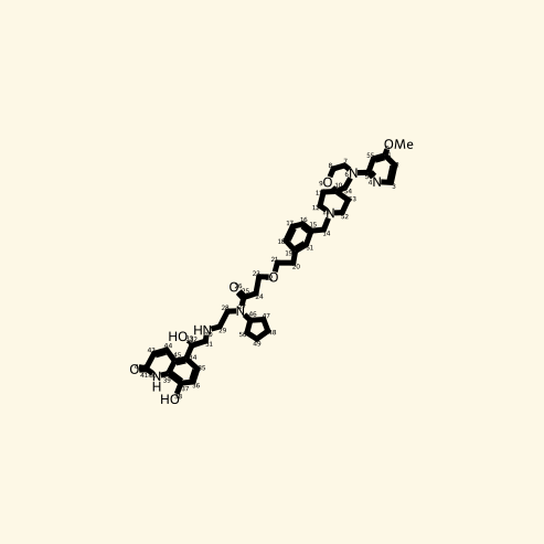 COc1ccnc(N2CCOC3(CCN(Cc4cccc(CCOCCC(=O)N(CCNC[C@H](O)c5ccc(O)c6[nH]c(=O)ccc56)C5CCCC5)c4)CC3)C2)c1